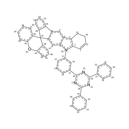 C1=Cc2c(c3cc4c(cc3n2-c2cccc(-c3nc(-c5ccccc5)nc(-c5ccccc5)n3)c2)C2(c3ccccc3Oc3ccccc32)c2ccccc2-4)CC1